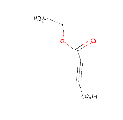 O=C(O)C#CC(=O)OCC(=O)O